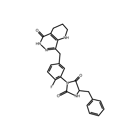 O=C1NC(Cc2ccccc2)C(=O)N1c1cc(Cc2n[nH]c(=O)c3c2NCCC3)ccc1F